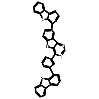 c1cc(-c2ncnc3c2oc2ccc(-c4cccc5c4oc4ccccc45)cc23)cc(-c2cccc3c2sc2ccccc23)c1